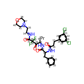 CC(C)C(NC(=O)C(Cc1ccccc1)NC(=O)CCc1cc(Cl)cc(Cl)c1)C(=O)C(F)(F)C(=O)NCCN1CCOCC1